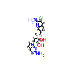 Nc1ncc2ccn(C3C=C(CCc4ccc5cc(Cl)c(N)nc5c4)C(O)C3O)c2n1